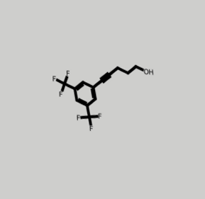 OCCCC#Cc1cc(C(F)(F)F)cc(C(F)(F)F)c1